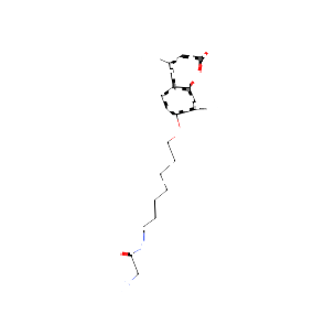 CCCc1c(OCCCCCCCNC(=O)CN)ccc2c(C(F)(F)F)cc(=O)oc12